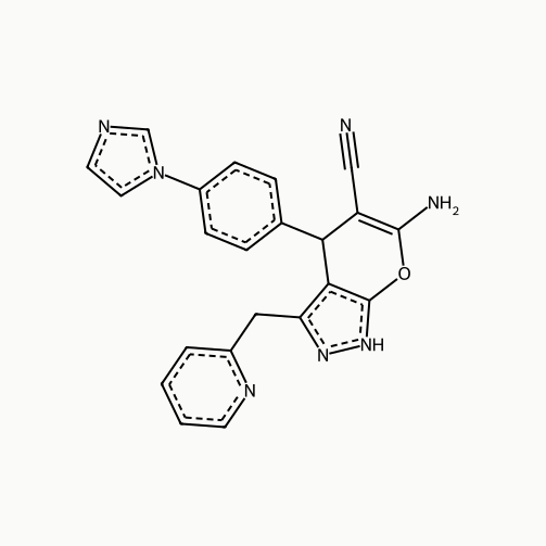 N#CC1=C(N)Oc2[nH]nc(Cc3ccccn3)c2C1c1ccc(-n2ccnc2)cc1